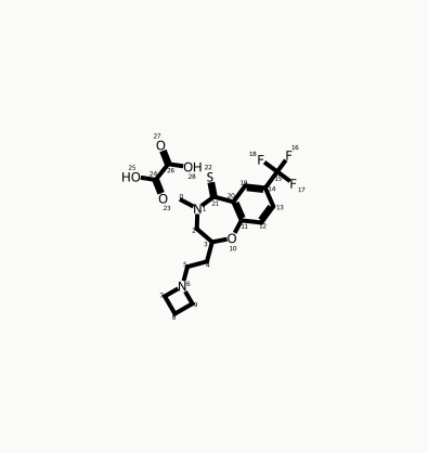 CN1CC(CCN2CCC2)Oc2ccc(C(F)(F)F)cc2C1=S.O=C(O)C(=O)O